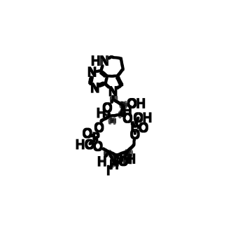 O=P1(O)OC[C@H]2O[C@@H](n3cc4c5c(ncnc53)NCCC4)[C@H](O)[C@@H]2OP(=O)(O)OC[C@H]2O[C@@H](I)[C@H](O1)[C@@H]2O